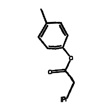 Cc1ccc(OC(=O)CC(C)C)cc1